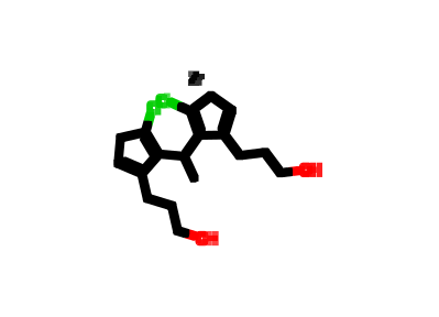 CC(C1=C(Cl)CC=C1CCCO)C1=C(Cl)CC=C1CCCO.[Zr]